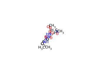 CC(=O)OCCOC(=O)N[C@@H](CC/C=C/C(=O)N(C)C)C(=O)Nc1cccn(Cc2cc3cccc(CC(C)C)c3[nH]2)c1=O